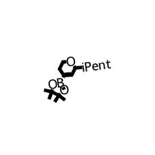 CCCC(C)C1C=C(B2OC(C)(C)C(C)(C)O2)CCO1